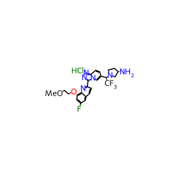 COCCOc1cc(F)cc2ccc(-c3nnc4ccc([C@@H](N5CC[C@H](N)C5)C(F)(F)F)cn34)nc12.Cl